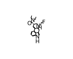 CCN(CC)C(=O)[C@@H]1C=C2c3cccc4[nH]cc(c34)C[C@H]2N(CCF)C1